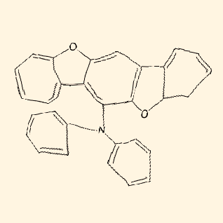 C1=CCC2Oc3c(cc4oc5ccccc5c4c3N(c3ccccc3)c3ccccc3)C2=C1